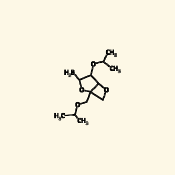 BC1OC2(COC(C)C)COC2C1OC(C)C